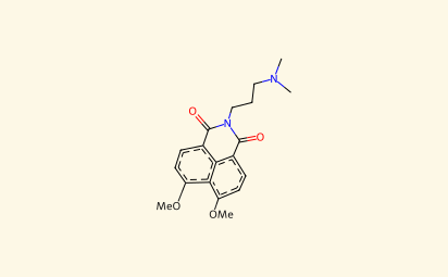 COc1ccc2c3c(ccc(OC)c13)C(=O)N(CCCN(C)C)C2=O